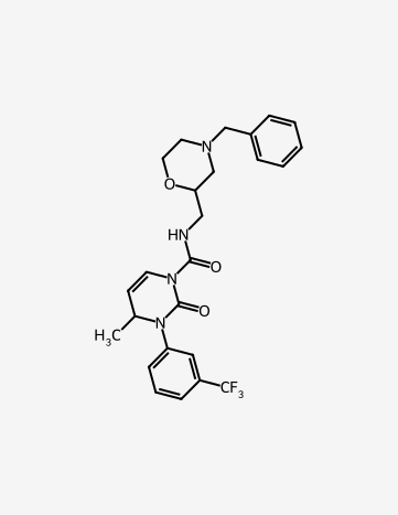 CC1C=CN(C(=O)NCC2CN(Cc3ccccc3)CCO2)C(=O)N1c1cccc(C(F)(F)F)c1